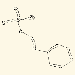 O=[S](=O)([Zn])OC=Cc1ccccc1